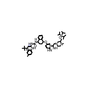 Cc1ccc(N/C(=C\C(=N)C(C)(C)C)NC(=O)N[C@H]2CC[C@@H](Oc3ccc(=N)n(C(=N)CN4CCN(C)C(CO[Si](C(C)C)(C(C)C)C(C)C)C4)c3)c3ccccc32)cc1